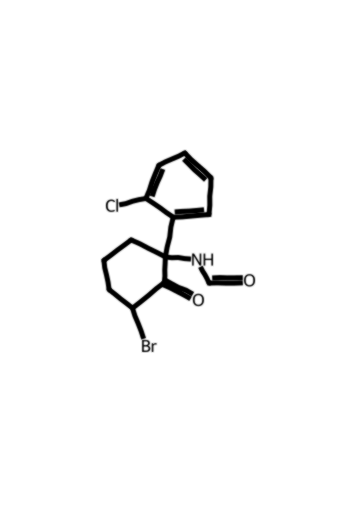 O=CNC1(c2ccccc2Cl)CCCC(Br)C1=O